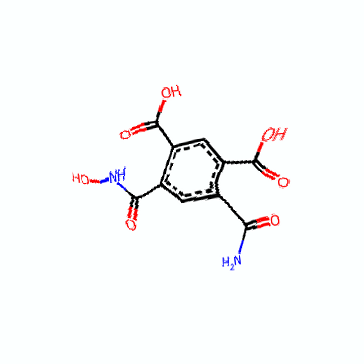 NC(=O)c1cc(C(=O)NO)c(C(=O)O)cc1C(=O)O